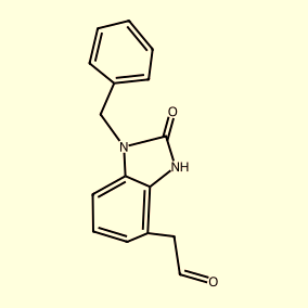 O=CCc1cccc2c1[nH]c(=O)n2Cc1ccccc1